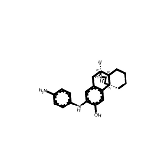 Nc1ccc(Nc2cc3c(cc2O)[C@]24CCCC[C@@H]2[C@H](C3)NCC4)cc1